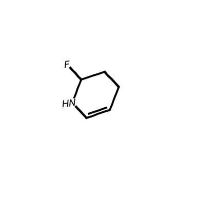 FC1CCC=CN1